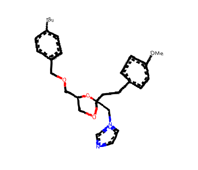 COc1ccc(CCC2(Cn3ccnc3)OCC(COCc3ccc(C(C)(C)C)cc3)O2)cc1